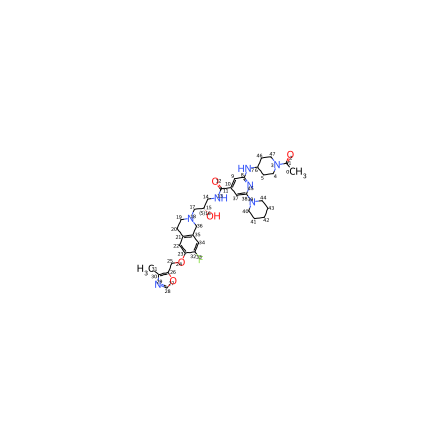 CC(=O)N1CCC(Nc2cc(C(=O)NC[C@H](O)CN3CCc4cc(OCc5ocnc5C)c(F)cc4C3)cc(N3CCCCC3)n2)CC1